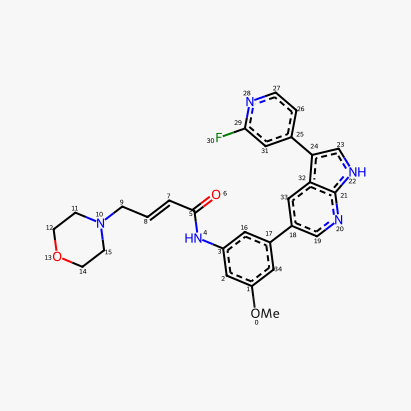 COc1cc(NC(=O)/C=C/CN2CCOCC2)cc(-c2cnc3[nH]cc(-c4ccnc(F)c4)c3c2)c1